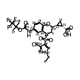 CCn1cc(S(=O)(=O)N2CC([C@H]3C[C@@H]3C(=O)O)Oc3ccc(NC(=O)OC(C)(C)C(F)(F)F)cc32)c(Cl)n1